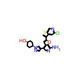 Nc1ncc(-c2cnn([C@H]3CC[C@H](O)CC3)c2)c2cc(-c3csc4cnc(Cl)cc34)oc12